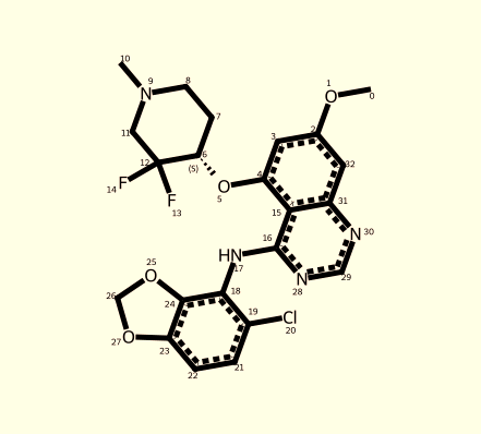 COc1cc(O[C@H]2CCN(C)CC2(F)F)c2c(Nc3c(Cl)ccc4c3OCO4)ncnc2c1